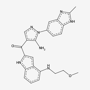 COCCNc1cccc2[nH]c(C(=O)c3cnn(-c4ccc5[nH]c(C)nc5c4)c3N)cc12